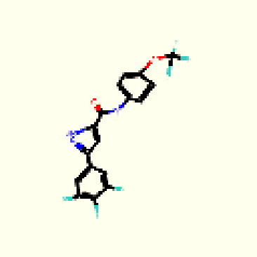 O=C(Nc1ccc(OC(F)(F)F)cc1)c1cc(-c2cc(F)c(F)c(F)c2)n[nH]1